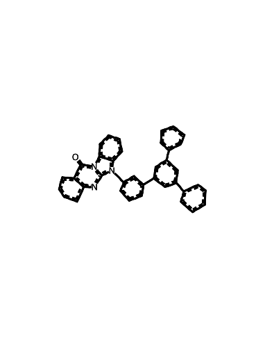 O=c1c2ccccc2nc2n(-c3cccc(-c4cc(-c5ccccc5)cc(-c5ccccc5)c4)c3)c3ccccc3n12